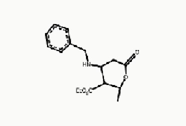 CCOC(=O)C1C(NCc2ccccc2)CC(=O)OC1C